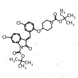 CC(C)(C)OC(=O)N1CCC(Oc2ccc(Cl)cc2/C=C2/C(=O)N(C(=O)OC(C)(C)C)c3cc(Cl)ccc32)CC1